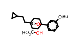 CC(C)COc1cccc(C23CCC(CCC4CC4)(CC2)CO3)c1.O=C(O)O